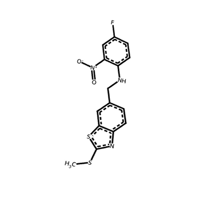 CSc1nc2ccc(CNc3ccc(F)cc3[N+](=O)[O-])cc2s1